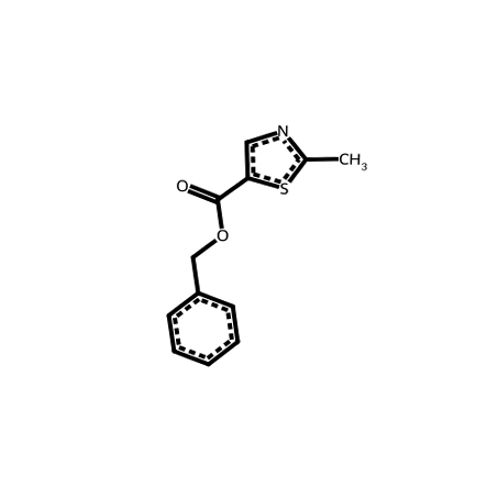 Cc1ncc(C(=O)OCc2ccccc2)s1